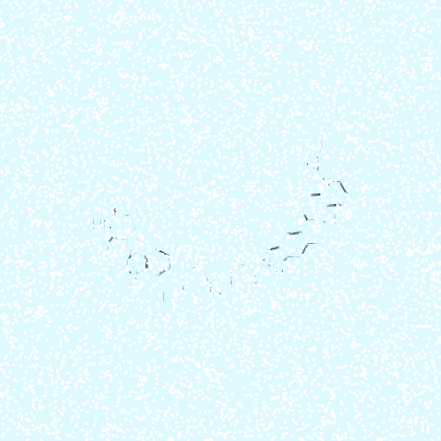 CC(C)Oc1cc2nn([C@H]3CC[C@H](CN4CC[C@@H](c5ccc6c(C7CCC(=O)NC7=O)nn(C)c6c5)[C@H](O)C4)CC3)cc2cc1C(=O)Nc1cccn([C@H]2C[C@H]2F)c1=O